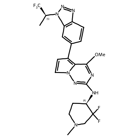 COc1nc(N[C@@H]2CCN(C)CC2(F)F)nn2ccc(-c3ccc4nnn([C@@H](C)C(F)(F)F)c4c3)c12